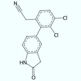 N#CCc1ccc(Cl)c(Cl)c1-c1ccc2c(c1)CC(=O)N2